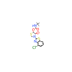 CC(C)(C)NC(=O)OC1SCN(c2nc3c(Cl)cccc3s2)C1=O